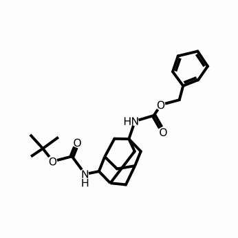 CC(C)(C)OC(=O)NC1C2CC3CC1CC(NC(=O)OCc1ccccc1)(C3)C2